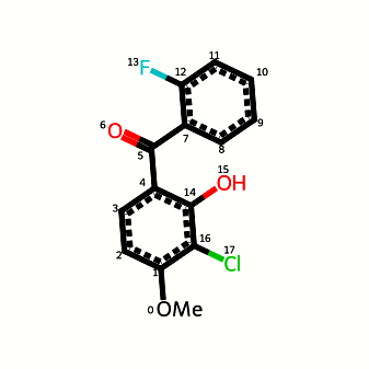 COc1ccc(C(=O)c2ccccc2F)c(O)c1Cl